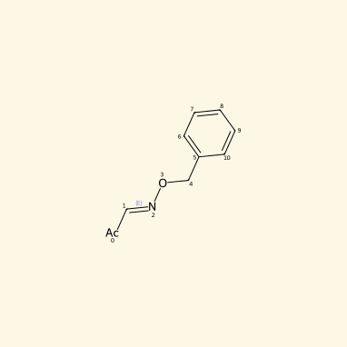 CC(=O)/C=N/OCc1ccccc1